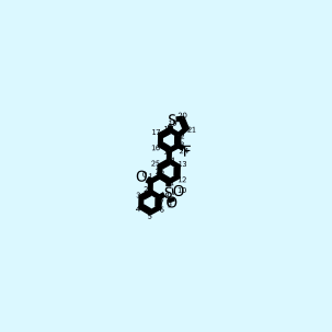 O=C1c2ccccc2S(=O)(=O)c2ccc(-c3ccc4sccc4c3F)cc21